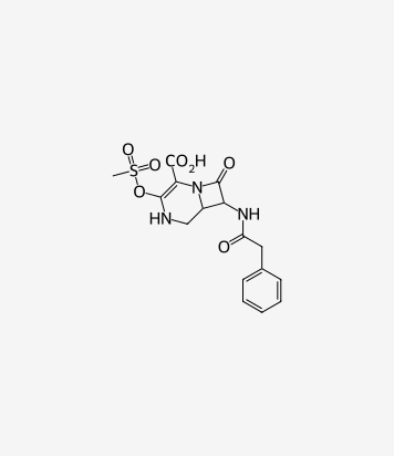 CS(=O)(=O)OC1=C(C(=O)O)N2C(=O)C(NC(=O)Cc3ccccc3)C2CN1